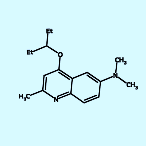 CCC(CC)Oc1cc(C)nc2ccc(N(C)C)cc12